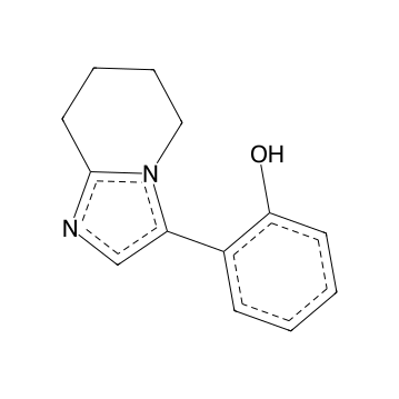 Oc1ccccc1-c1cnc2n1CCCC2